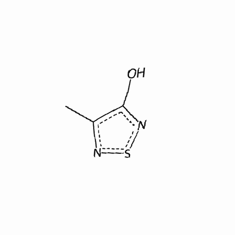 Cc1nsnc1O